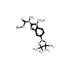 CN(C(=O)OC(C)(C)C)c1nc2cc(B3OC(C)(C)C(C)(C)O3)ccc2n1C(=O)O